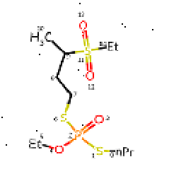 CCCSP(=O)(OCC)SCCC(C)S(=O)(=O)CC